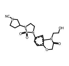 N#CN1CCC(N2CCN(c3ccc4c(c3)N(CCO)C(=O)CO4)S2(=O)=O)C1